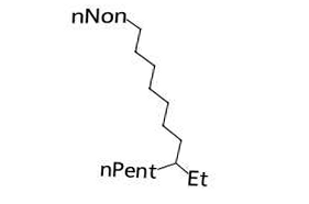 CCCCCCCCCCCCCCCCC(CC)CCCCC